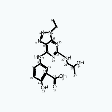 CCn1nnc2c(Nc3ccc(O)c(C(=O)O)c3)nc(NCC(C)O)nc21